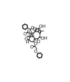 CC(=O)O[C@@]12CO[C@@H]1C[C@H](OC(=O)COc1ccccc1)[C@@]1(C)C(=O)[C@H](O)C3=C(C)C(O)C[C@@](O)([C@@H](OC(=O)c4ccccc4)[C@H]21)C3(C)C